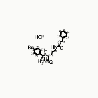 C[C@H](N[C@H](CCCNC(=O)OCc1ccccc1)C(N)=O)c1ccc(Br)cc1.Cl